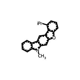 CC(C)c1cccc2oc3cc4c(cc3c12)c1ccccc1n4C